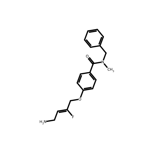 CN(Cc1ccccc1)C(=O)c1ccc(OCC(F)=CCN)cc1